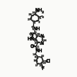 Cc1cc(CNc2n[nH]c3c(C(=O)NCc4ccc(F)c(Cl)c4)ncnc23)ccc1N